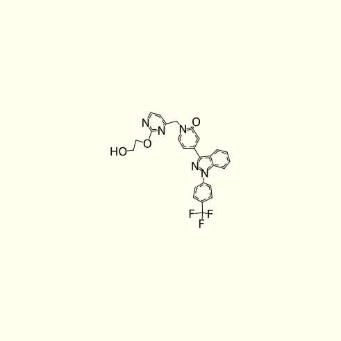 O=c1cc(-c2nn(-c3ccc(C(F)(F)F)cc3)c3ccccc23)ccn1Cc1ccnc(OCCO)n1